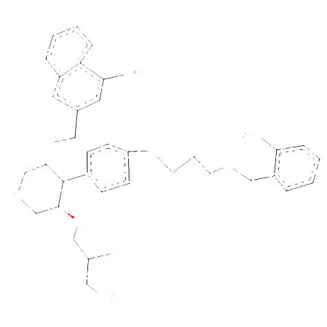 COCC(O)CO[C@H]1CNC[C@H](OCc2cc(OC)c3ccccc3c2)C1c1ccc(OCCCOCc2ccccc2OC)cc1